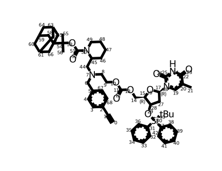 C#Cc1ccc(CN(CCOC(=O)OC[C@H]2O[C@@H](n3cc(C)c(=O)[nH]c3=O)CC2O[Si](c2ccccc2)(c2ccccc2)C(C)(C)C)CC2CCCCN2C(=O)OC(C)(C)C23CC4CC(CC(C4)C2)C3)cc1